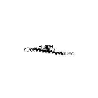 CCCCCCCCCCCCCCCCCCCC(CCCCCCCCCCCCCCCCCC)C[N+](C)(C)C